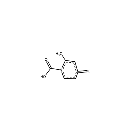 Cc1cc(=O)ccn1C(=O)O